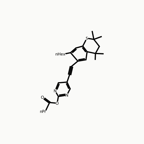 CCCCCCc1cc2c(cc1C#Cc1cnc(OC(=O)CCC)nc1)C(C)(C)CC(C)(C)S2